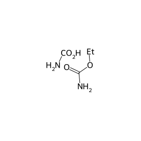 CCOC(N)=O.NC(=O)O